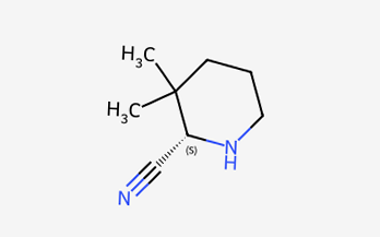 CC1(C)CCCN[C@@H]1C#N